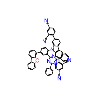 N#Cc1ccc(-c2ccc3c4ccc(-c5ccc(C#N)cc5C#N)cc4n(-c4ccc(-c5cccc6c5oc5ccccc56)cc4-c4nc(-c5ccccc5)nc(-c5ccccc5)n4)c3c2)c(C#N)c1